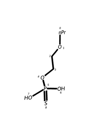 CCCOCCOP(O)(O)=S